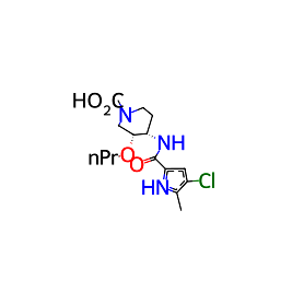 CCCO[C@@H]1CN(C(=O)O)CC[C@@H]1NC(=O)c1cc(Cl)c(C)[nH]1